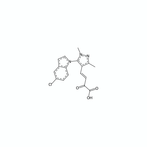 Cc1nn(C)c(-n2ccc3cc(Cl)ccc32)c1C=CC(=O)C(=O)O